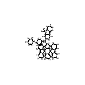 CC1(C)c2ccccc2-c2ccc(N(c3ccc(-c4ccccc4)cc3)c3ccc4c(c3)C3(c5ccccc5-c5ccccc53)c3ccccc3C43c4ccccc4-c4ccccc43)cc21